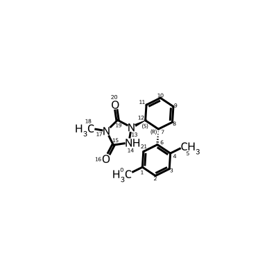 Cc1ccc(C)c([C@H]2C=CC=C[C@@H]2n2[nH]c(=O)n(C)c2=O)c1